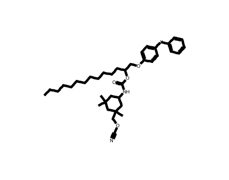 CCCCCCCCCCCCC(COc1ccc([I+]c2ccccc2)cc1)OC(=O)NC1CC(C)(C)CC(C)(COC#N)C1